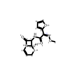 CO/N=C(\C(=O)NC1C(=O)N2C=CCS[C@H]12)c1ccco1